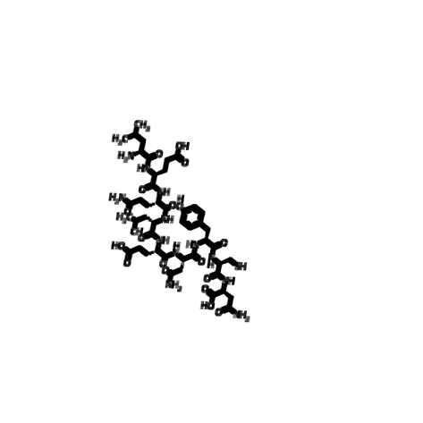 CC(C)C[C@H](NC(=O)[C@H](CCC(N)=O)NC(=O)[C@H](CCC(=O)O)NC(=O)[C@@H](N)CC(C)C)C(=O)N[C@@H](CCC(=O)O)C(=O)N[C@@H](CC(N)=O)C(=O)N[C@@H](Cc1ccc(O)cc1)C(=O)N[C@@H](CS)C(=O)N[C@@H](CC(N)=O)C(=O)O